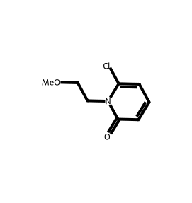 COCCn1c(Cl)cccc1=O